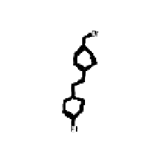 CCC1=CCC(CCc2ccc(CBr)cc2)CC1